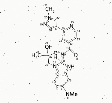 CNc1ccc2c(c1)[nH]/c(=N\C(=O)c1ccnc(-c3cnn(C)c3)c1)n2CC(C)(C)O